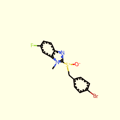 Cn1c([S+]([O-])Cc2ccc(Br)cc2)nc2ccc(F)cc21